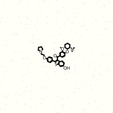 COc1cc(C(=O)c2c(-c3ccc(OCCN4CCCC4)cc3)sc3cc(O)ccc23)ccc1O[C@H]1CCCC[C@@H]1N(C)C